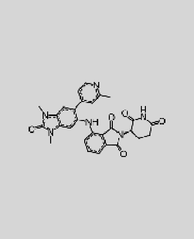 Cc1cc(-c2cc3c(cc2Nc2cccc4c2C(=O)N([C@@H]2CCC(=O)NC2=O)C4=O)n(C)c(=O)n3C)ccn1